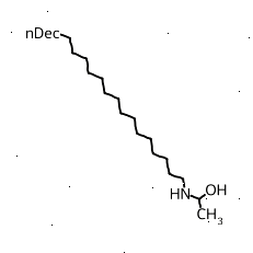 CCCCCCCCCCCCCCCCCCCCCCCCCNC(C)O